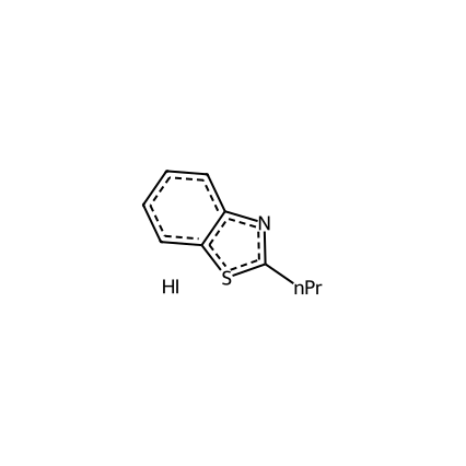 CCCc1nc2ccccc2s1.I